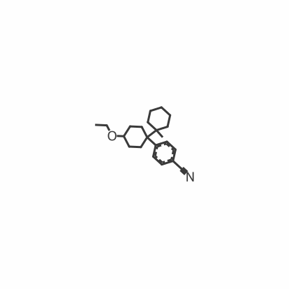 CCOC1CCC(c2ccc(C#N)cc2)(C2(C)CCCCC2)CC1